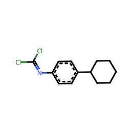 ClC(Cl)=Nc1ccc(C2CCCCC2)cc1